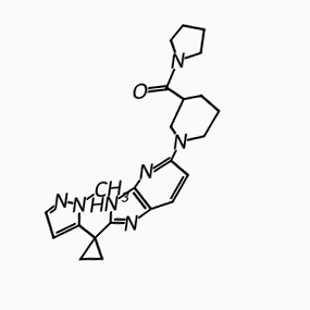 Cn1nccc1C1(c2nc3ccc(N4CCCC(C(=O)N5CCCC5)C4)nc3[nH]2)CC1